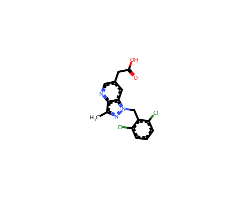 Cc1nn(Cc2c(Cl)cccc2Cl)c2cc(CC(=O)O)cnc12